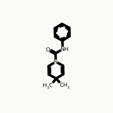 CC1(C)C=CN(C(=O)Nc2ccccc2)C=C1